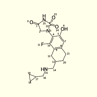 O=C1CN(c2c(O)cc3c(c2F)CC(CNCC2CC2)CC3)S(=O)(=O)N1